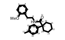 COc1ccccc1CCNC(=O)C1(c2ccc(C)cc2)CCCCC1